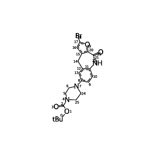 CC(C)(C)OC(=O)N1CCN(c2ccc3c(c2)Cc2cc(Br)oc2C(=O)N3)CC1